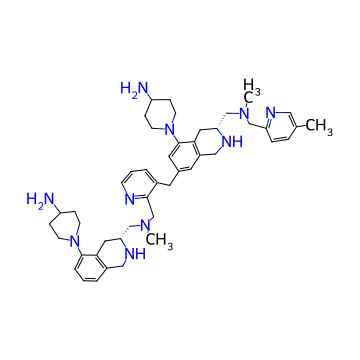 Cc1ccc(CN(C)C[C@H]2Cc3c(cc(Cc4cccnc4CN(C)C[C@H]4Cc5c(cccc5N5CCC(N)CC5)CN4)cc3N3CCC(N)CC3)CN2)nc1